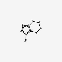 Fc1cnn2c1CCCC2